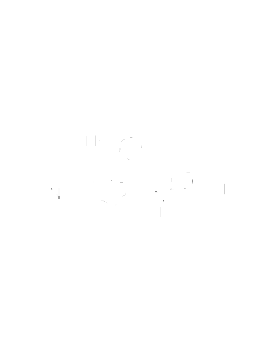 CCN(CCc1ccc(OCCN2CCCCC2)cc1)c1cc(O)ccc1C1CCc2cc(O)ccc2C1